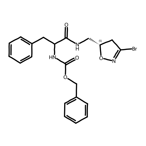 O=C(NC(Cc1ccccc1)C(=O)NC[C@@H]1CC(Br)=NO1)OCc1ccccc1